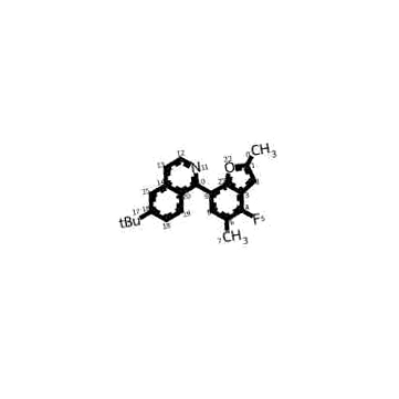 Cc1cc2c(F)c(C)cc(-c3nccc4cc(C(C)(C)C)ccc34)c2o1